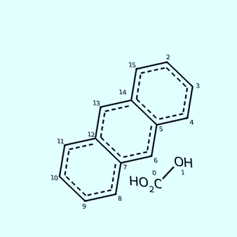 O=C(O)O.c1ccc2cc3ccccc3cc2c1